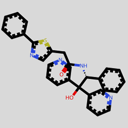 O=C(Cc1cnc(-c2ccccc2)s1)N[C@H](c1ccccc1)C(O)(c1cccnc1)c1cccnc1